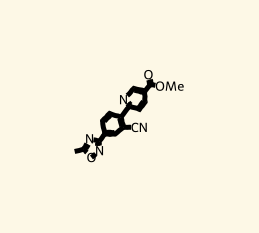 COC(=O)c1ccc(-c2ccc(-c3noc(C)n3)cc2C#N)nc1